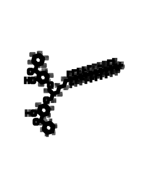 O=C(c1ccccc1)c1ccc(OCC(CCCCC(F)(F)C(F)(F)C(F)(F)C(F)(F)C(F)(F)C(F)(F)C(F)(F)C(F)(F)C(F)(F)C(F)(F)F)COc2ccc(C(=O)c3ccccc3)c(O)c2)cc1O